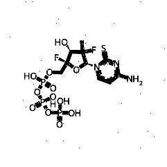 CC1(F)[C@@H](O)[C@@](F)(COP(=O)(O)OP(=O)(O)OP(=O)(O)O)O[C@H]1n1ccc(N)nc1=S